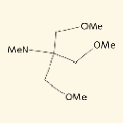 CNC(COC)(COC)COC